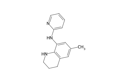 Cc1cc2c(c(Nc3ccccn3)c1)NCCC2